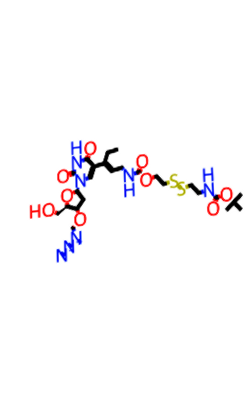 CC/C(=C\CNC(=O)OCCSSCCNC(=O)OC(C)(C)C)c1cn([C@H]2CC(OCN=[N+]=[N-])[C@@H](CO)O2)c(=O)[nH]c1=O